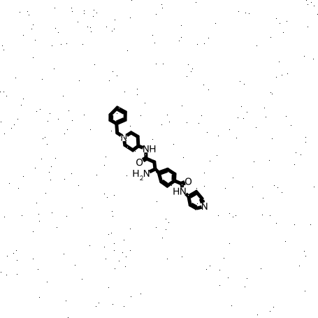 NC(CC(=O)NC1CCN(Cc2ccccc2)CC1)c1ccc(C(=O)Nc2ccncc2)cc1